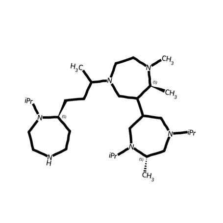 CC(C)N1CC(C2CN(C(C)CC[C@H]3CCNCCN3C(C)C)CCN(C)[C@H]2C)CN(C(C)C)[C@@H](C)C1